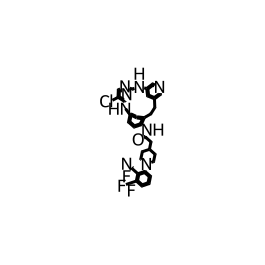 N#Cc1c(N2CCC(CC(=O)Nc3ccc4cc3CCc3cncc(c3)Nc3ncc(Cl)c(n3)N4)CC2)cccc1C(F)(F)F